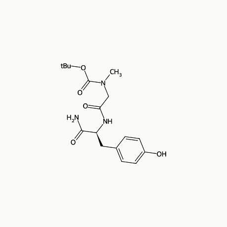 CN(CC(=O)N[C@@H](Cc1ccc(O)cc1)C(N)=O)C(=O)OC(C)(C)C